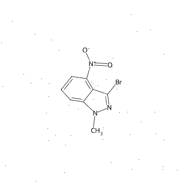 Cn1nc(Br)c2c([N+](=O)[O-])cccc21